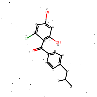 CC(C)Cc1ccc(C(=O)c2c(O)cc(O)cc2Cl)cc1